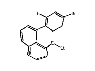 CCOc1cccc2cccc(C3=C(F)C=C(Br)CC3)c12